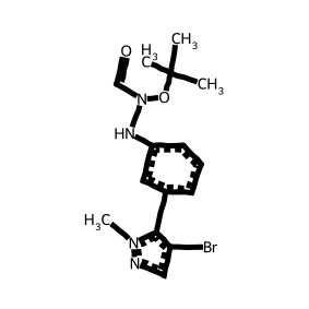 Cn1ncc(Br)c1-c1cccc(NN(C=O)OC(C)(C)C)c1